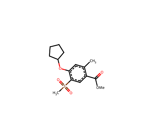 COC(=O)c1cc(S(C)(=O)=O)c(OC2CCCC2)cc1C